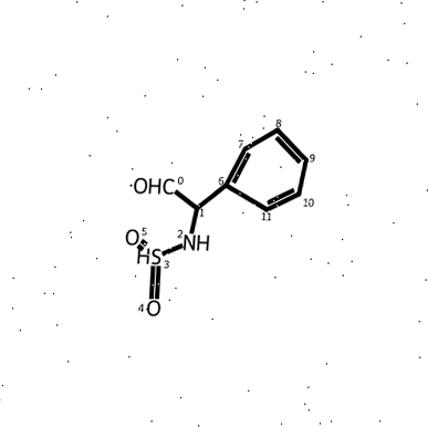 O=[C]C(N[SH](=O)=O)c1ccccc1